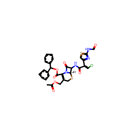 CC(=O)OCC1=C(C(=O)OC(c2ccccc2)c2ccccc2)N2C(=O)C(NC(=O)/C(=C/Cl)c3csc(NC=O)n3)[C@H]2SC1